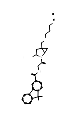 [N-]=[N+]=NCCCOCC12CC(C(=O)O)N(C(=O)CNC(=O)c3ccc4c(c3)-c3ccccc3C4(F)F)C1C2